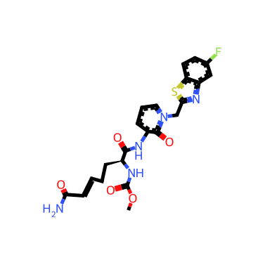 COC(=O)N[C@@H](CC/C=C/C(N)=O)C(=O)Nc1cccn(Cc2nc3cc(F)ccc3s2)c1=O